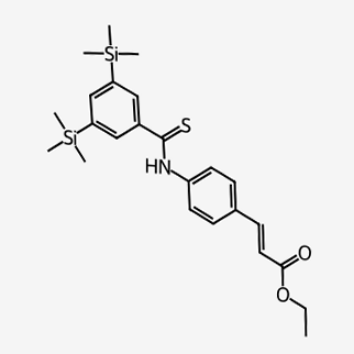 CCOC(=O)/C=C/c1ccc(NC(=S)c2cc([Si](C)(C)C)cc([Si](C)(C)C)c2)cc1